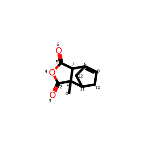 CC12C(=O)OC(=O)C1C1=CCC2C1